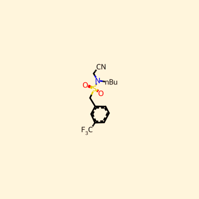 CCCCN(CC#N)S(=O)(=O)Cc1cccc(C(F)(F)F)c1